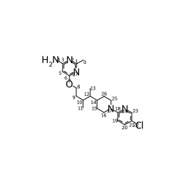 Cc1nc(N)cc(OCCC(C)C(C)C2CCN(c3ccc(Cl)cn3)CC2)n1